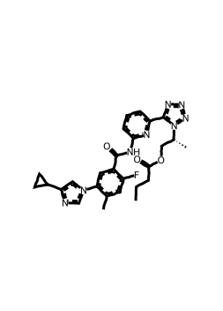 CCCC(=O)OC[C@@H](C)n1nnnc1-c1cccc(NC(=O)c2cc(-n3cnc(C4CC4)c3)c(C)cc2F)n1